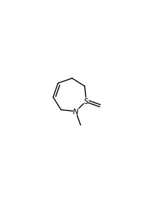 C=S1CCC=CCN1C